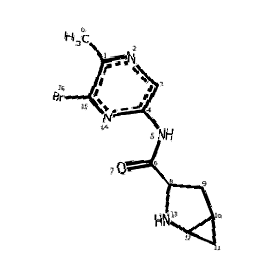 Cc1ncc(NC(=O)C2CC3CC3N2)nc1Br